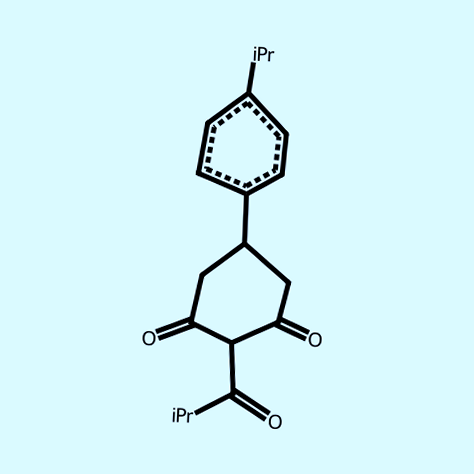 CC(C)C(=O)C1C(=O)CC(c2ccc(C(C)C)cc2)CC1=O